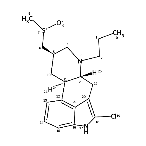 CCCN1C[C@H](C[S+](C)[O-])C[C@@H]2c3cccc4[nH]c(Cl)c(c34)C[C@H]21